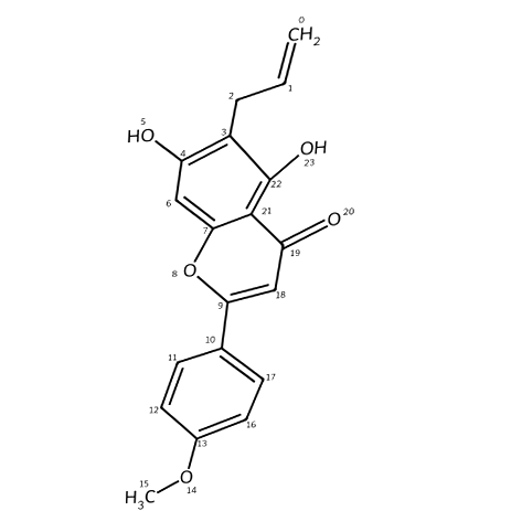 C=CCc1c(O)cc2oc(-c3ccc(OC)cc3)cc(=O)c2c1O